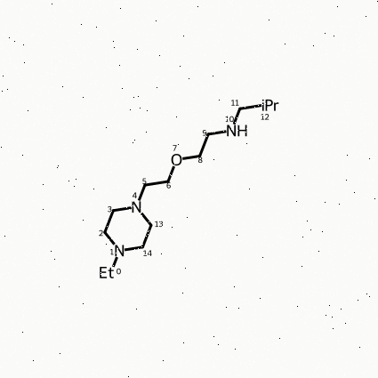 CCN1CCN(CCOCCNCC(C)C)CC1